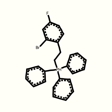 Fc1ccc(CC[PH](c2ccccc2)(c2ccccc2)c2ccccc2)c(Br)c1